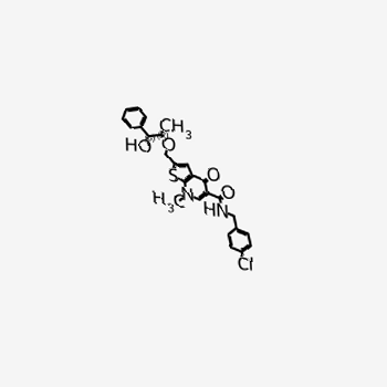 C[C@@H](OCc1cc2c(=O)c(C(=O)NCc3ccc(Cl)cc3)cn(C)c2s1)[C@@H](O)c1ccccc1